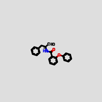 O=C[C@H](Cc1ccccc1)NC(=O)c1ccccc1Oc1ccccc1